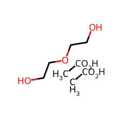 CC(=O)O.CC(=O)O.OCCOCCO